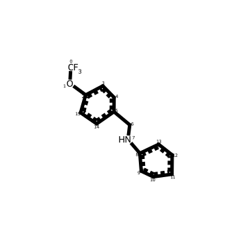 FC(F)(F)Oc1ccc(CNc2ccccc2)cc1